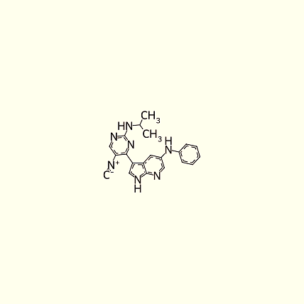 [C-]#[N+]c1cnc(NC(C)C)nc1-c1c[nH]c2ncc(Nc3ccccc3)cc12